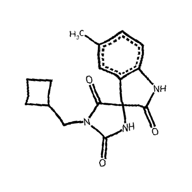 Cc1ccc2c(c1)C1(NC(=O)N(CC3CCC3)C1=O)C(=O)N2